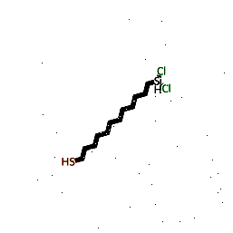 SCCCCCCCCCCCC[SiH](Cl)Cl